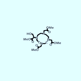 COC(=O)CN1CCN(CC(=O)OC)CCN(C(CO)C(=O)OC)CCN(CC(=O)OC)CC1